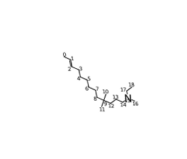 CC=CCCCCCCC(C)(C)CCCN(C)CC